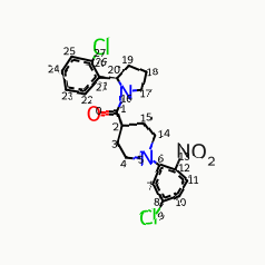 O=C(C1CCN(c2cc(Cl)ccc2[N+](=O)[O-])CC1)N1CCC[C@@H]1c1ccccc1Cl